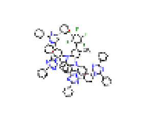 Fc1c(F)c(F)c(-c2cc(-n3c4cc(-c5cc(-c6ccccc6)nc(-c6ccccc6)n5)ccc4c4ccc(-c5nc(-c6ccccc6)nc(-c6ccccc6)n5)cc43)c(-n3c4cc(-c5nc(-c6ccccc6)nc(-c6ccccc6)n5)ccc4c4ccc(-c5nc(-c6ccccc6)nc(-c6ccccc6)n5)cc43)cc2C(F)(F)F)c(F)c1F